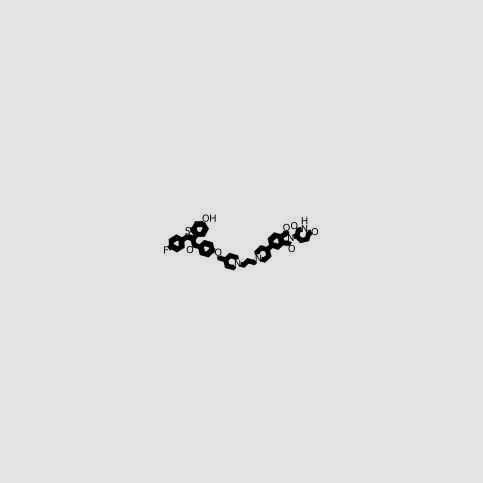 O=C1CCC(N2C(=O)c3ccc(C4CCN(CCCN5CCC(COc6ccc(C(=O)c7c(-c8ccc(F)cc8)sc8cc(O)ccc78)cc6)CC5)CC4)cc3C2=O)C(=O)N1